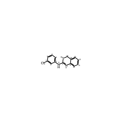 Clc1cccc(NC2=Nc3ccccc3CS2)c1